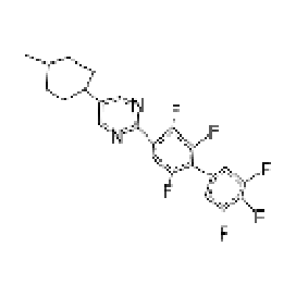 CC1CCC(c2cnc(-c3cc(F)c(-c4cc(F)c(F)c(F)c4)c(F)c3F)nc2)CC1